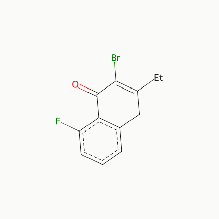 CCC1=C(Br)C(=O)c2c(F)cccc2C1